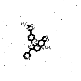 Cc1nc(-c2ccc(-n3nc(-c4cccnc4)c4c3[C@]3(C)Cc5cnoc5[C@H](C)[C@H]3CC4)cc2)no1